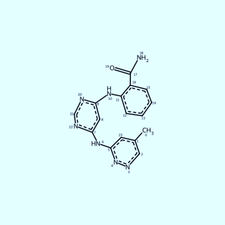 Cc1cnnc(Nc2cc(Nc3ccccc3C(N)=O)ncn2)c1